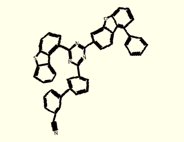 N#Cc1cccc(-c2cccc(-c3nc(-c4ccc5c(c4)oc4cccc(-c6ccccc6)c45)nc(-c4cccc5sc6ccccc6c45)n3)c2)c1